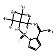 [2H]C([2H])([2H])C(NS(=O)(=O)n1cccc1C(N)=O)(C([2H])([2H])[2H])C([2H])([2H])[2H]